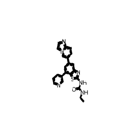 CCNC(=O)Nc1nc2cc(-c3ccc4nccn4c3)cc(-c3cccnc3)c2s1